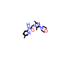 Cc1ccc(NC(=O)Cn2c(C)nc(N3CCOCC3)c2C)nc1